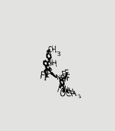 CCN1CCC(Nc2cccc3c(CC(F)(F)F)c(C#CCNc4cc(F)c(C(=O)NC)cc4OCC(F)(F)F)sc23)CC1